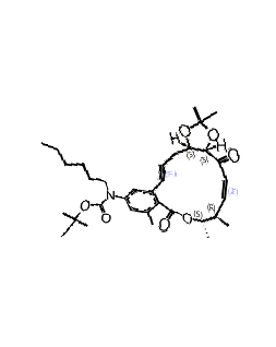 CCCCCCN(C(=O)OC(C)(C)C)c1cc(C)c2c(c1)/C=C/C[C@@H]1OC(C)(C)O[C@@H]1C(=O)/C=C\[C@@H](C)[C@H](C)OC2=O